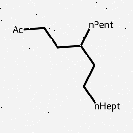 CCCCCCCCCC(CCCCC)CCC(C)=O